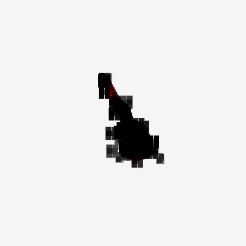 CCCC[C@H](NC(=O)[C@H](CN)NC(=O)[C@H](Cc1c[nH]cn1)NC(=O)[C@H](CCC(N)=O)NC(=O)[C@H](CO)NC(=O)CNC(=O)COCCOCCNC(=O)COCCOCCNC(=O)CCCCCCCCCCCCCCCc1nnn[nH]1)C(=O)N[C@H]1CCC(=O)NCCCC[C@@H](C(N)=O)NC(=O)[C@H](Cc2c[nH]c3ccccc23)NC(=O)[C@H](CCCNC(=N)N)NC(=O)[C@@H](Cc2ccccc2)NC(=O)[C@@H]2C[C@@H](O)CN2C1=O